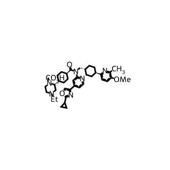 CCN1CCN(C(=O)O)C([C@H]2CC[C@H](C(=O)N(C[C@H]3CC[C@H](c4ccc(OC)c(C)n4)CC3)c3cc(-c4coc(C5CC5)n4)ccn3)CC2)C1